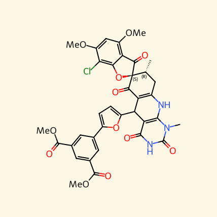 COC(=O)c1cc(C(=O)OC)cc(-c2ccc(C3C4=C(C[C@@H](C)[C@]5(Oc6c(Cl)c(OC)cc(OC)c6C5=O)C4=O)Nc4c3c(=O)[nH]c(=O)n4C)o2)c1